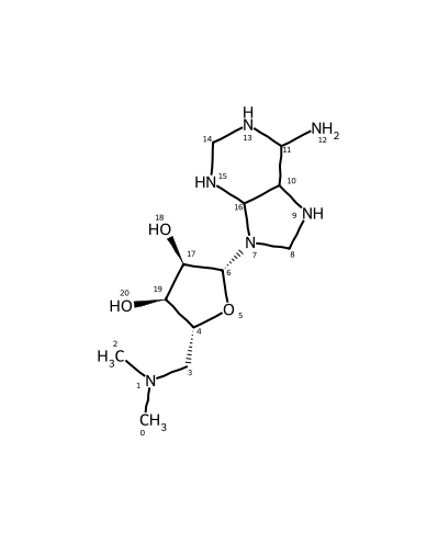 CN(C)C[C@H]1O[C@@H](N2CNC3C(N)NCNC32)[C@H](O)[C@@H]1O